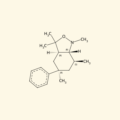 C[C@H]1C[C@@](C)(c2ccccc2)C[C@@H]2[C@@H]1N(C)OC2(C)C